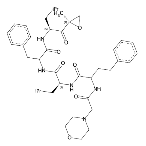 CC(C)C[C@H](NC(=O)C(CCc1ccccc1)NC(=O)CN1CCOCC1)C(=O)NC(Cc1ccccc1)C(=O)N[C@@H](CC(C)C)C(=O)[C@@]1(C)CO1